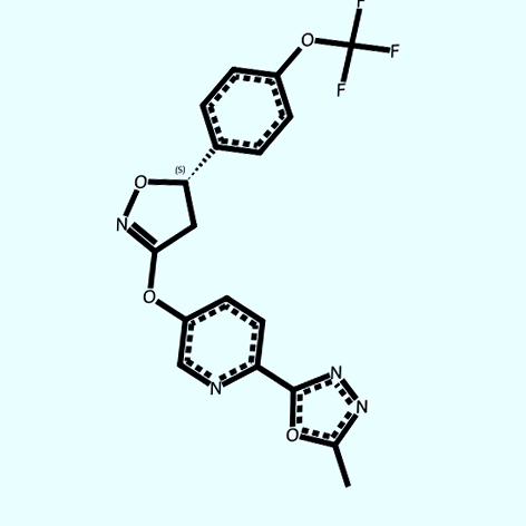 Cc1nnc(-c2ccc(OC3=NO[C@H](c4ccc(OC(F)(F)F)cc4)C3)cn2)o1